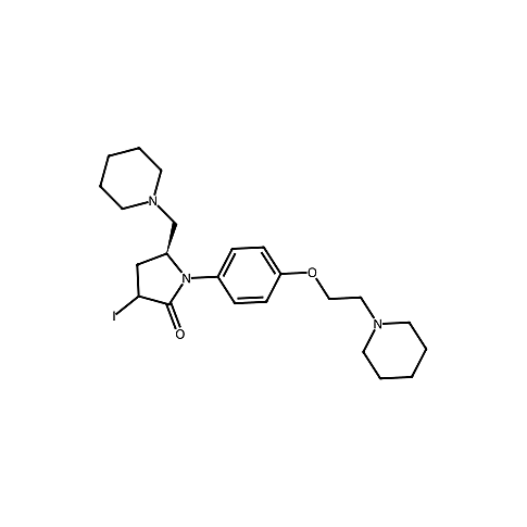 O=C1C(I)C[C@@H](CN2CCCCC2)N1c1ccc(OCCN2CCCCC2)cc1